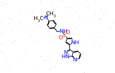 CN(C)c1ccc(CNS(=O)(=O)c2c[nH]c(-c3n[nH]c4ncccc34)c2)cc1